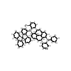 Fc1ccccc1N(c1cccc2c1-c1ccccc1C21c2ccccc2-c2ccccc21)c1ccc2ccc3c(N(c4ccccc4)c4cccnc4)ccc4ccc1c2c43